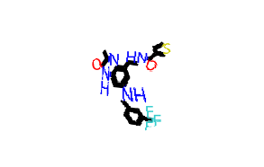 Cc1nc2c(CCNC(=O)c3ccsc3)cc(NCc3cccc(C(F)(F)F)c3)cc2[nH]c1=O